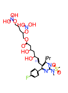 CC(C)c1nc(N(C)S(C)(=O)=O)nc(-c2ccc(F)cc2)c1/C=C/C(O)CC(O)CC(=O)OCC(CCCON(O)O)ON(O)O